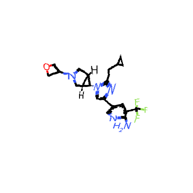 Nc1ncc(-c2cn([C@@H]3[C@@H]4CN(C5COC5)C[C@@H]43)c(CC3CC3)n2)cc1C(F)(F)F